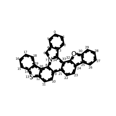 c1ccc2c(c1)cn1c3c(ccc4sc5ccccc5c43)c3ccc4c5ccccc5oc4c3c21